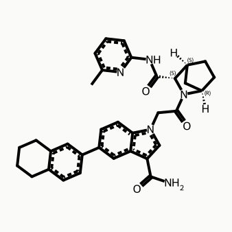 Cc1cccc(NC(=O)[C@@H]2[C@H]3CC[C@H](C3)N2C(=O)Cn2cc(C(N)=O)c3cc(-c4ccc5c(c4)CCCC5)ccc32)n1